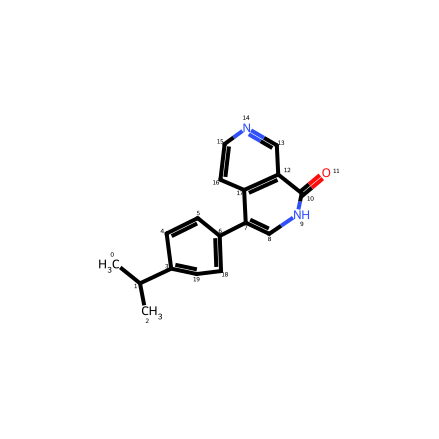 CC(C)c1ccc(-c2c[nH]c(=O)c3cnccc23)cc1